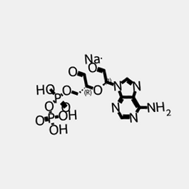 Nc1ncnc2c1ncn2[C@@H](C=O)O[C@@H](C=O)COP(=O)(O)OP(=O)(O)O.[Na]